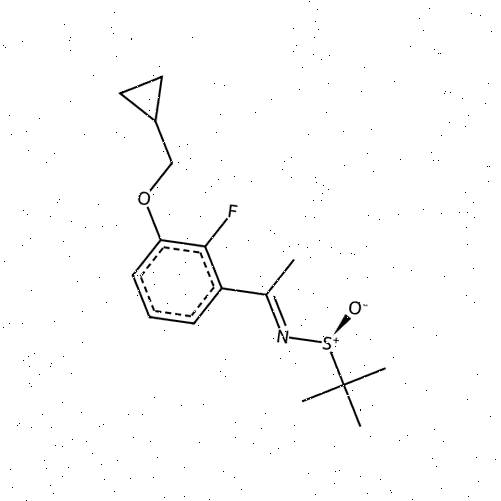 C/C(=N\[S@@+]([O-])C(C)(C)C)c1cccc(OCC2CC2)c1F